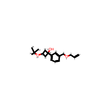 C=CCOCc1cccc(C2(O)CC(OC(C)(C)C)C2)c1